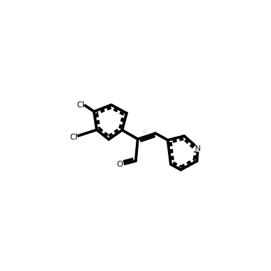 O=C/C(=C\c1cccnc1)c1ccc(Cl)c(Cl)c1